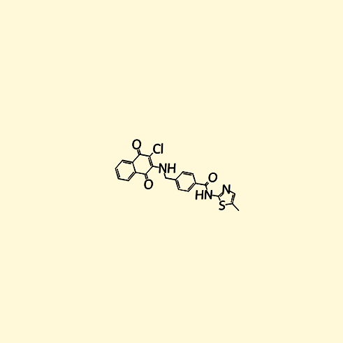 Cc1cnc(NC(=O)c2ccc(CNC3=C(Cl)C(=O)c4ccccc4C3=O)cc2)s1